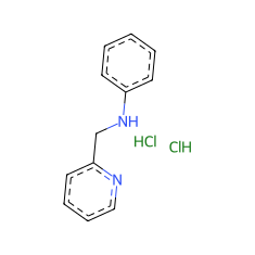 Cl.Cl.c1ccc(NCc2ccccn2)cc1